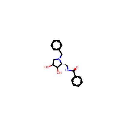 O=C(NC[C@@H]1[C@@H](O)[C@@H](O)CN1Cc1ccccc1)c1ccccc1